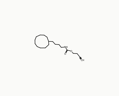 C#CCCOC(=O)NCCCCC1CCCCCCCCCC1